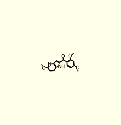 COc1ccc(C(=O)c2cc3nc(OC)ccc3[nH]2)c(OC)c1